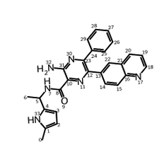 Cc1ccc(C(C)NC(=O)c2nc(-c3ccc4ncccc4c3)c(-c3ccccc3)nc2N)[nH]1